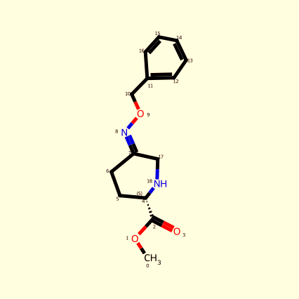 COC(=O)[C@@H]1CCC(=NOCc2ccccc2)CN1